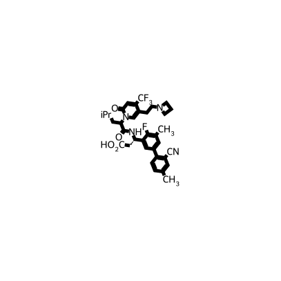 Cc1ccc(-c2cc(C)c(F)c([C@H](CC(=O)O)NC(=O)C(CC(C)C)n3cc(CCN4CCC4)c(C(F)(F)F)cc3=O)c2)c(C#N)c1